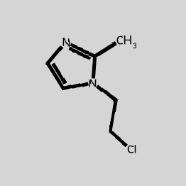 Cc1nccn1CCCl